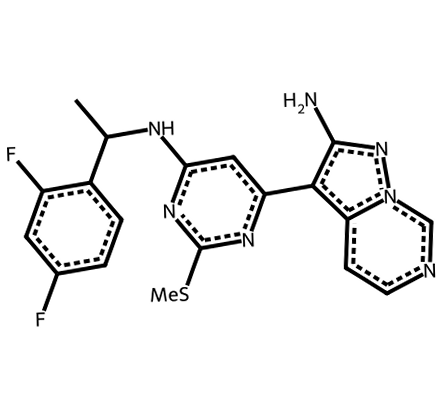 CSc1nc(NC(C)c2ccc(F)cc2F)cc(-c2c(N)nn3cnccc23)n1